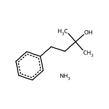 CC(C)(O)CCc1ccccc1.N